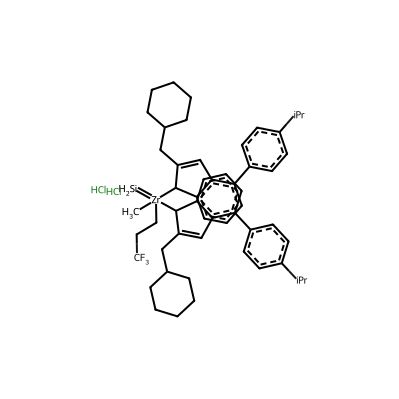 CC(C)c1ccc(-c2cccc3c2C=C(CC2CCCCC2)[CH]3[Zr]([CH3])(=[SiH2])([CH2]CC(F)(F)F)[CH]2C(CC3CCCCC3)=Cc3c(-c4ccc(C(C)C)cc4)cccc32)cc1.Cl.Cl